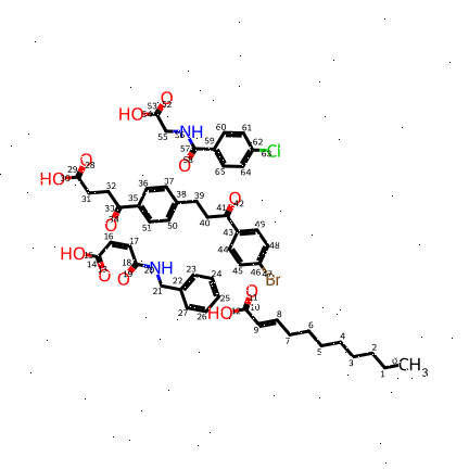 CCCCCCCCC=CC(=O)O.O=C(O)/C=C\C(=O)NCc1ccccc1.O=C(O)CCC(=O)c1ccc(CCC(=O)c2ccc(Br)cc2)cc1.O=C(O)CNC(=O)c1ccc(Cl)cc1